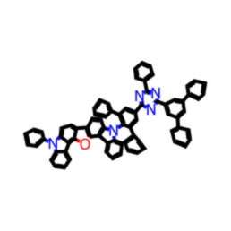 c1ccc(-c2cc(-c3ccccc3)cc(-c3nc(-c4ccccc4)nc(-c4cc(-c5ccccc5)c(-n5c6ccccc6c6c7oc8c(ccc9c8c8ccccc8n9-c8ccccc8)c7ccc65)c(-c5ccccc5)c4)n3)c2)cc1